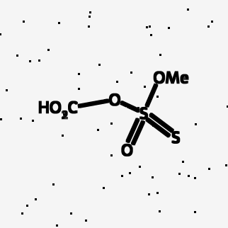 COS(=O)(=S)OC(=O)O